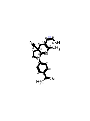 CC(=O)c1ccc(N2CCC3(C#N)CC(/C=C\S)=C(C)N=C23)cc1